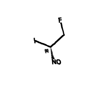 O=N[C@H](I)CF